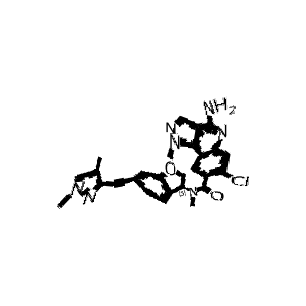 Cc1cn(C)nc1C#Cc1ccc2c(c1)OC[C@H]2N(C)C(=O)c1cc2c(cc1Cl)nc(N)c1cnn(C)c12